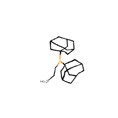 O=S(=O)(O)CCP(C12CC3CC(CC(C3)C1)C2)C12CC3CC(CC(C3)C1)C2